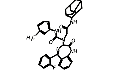 Cc1cccc(NC(=O)N(CC(=O)NC2C3CC4CC(C3)CC2C4)C2N=C(c3ccccc3F)c3ccccc3NC2=O)c1